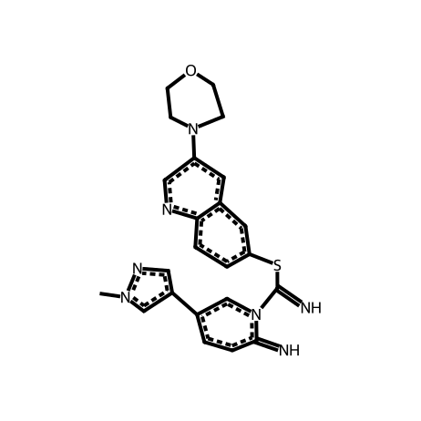 Cn1cc(-c2ccc(=N)n(C(=N)Sc3ccc4ncc(N5CCOCC5)cc4c3)c2)cn1